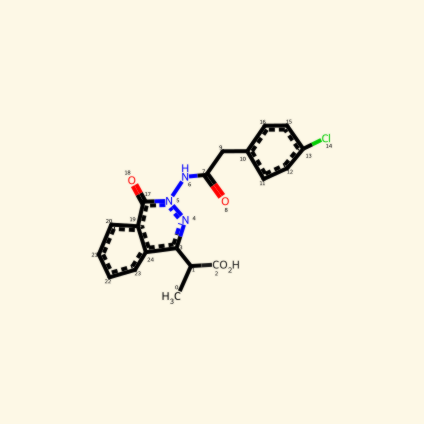 CC(C(=O)O)c1nn(NC(=O)Cc2ccc(Cl)cc2)c(=O)c2ccccc12